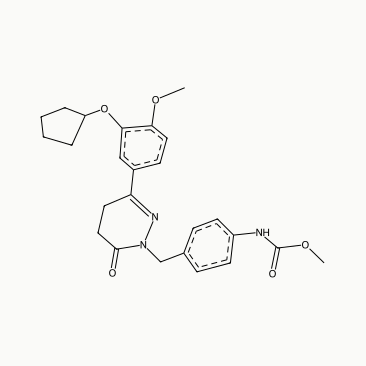 COC(=O)Nc1ccc(CN2N=C(c3ccc(OC)c(OC4CCCC4)c3)CCC2=O)cc1